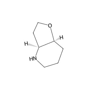 C1CN[C@H]2CCO[C@H]2C1